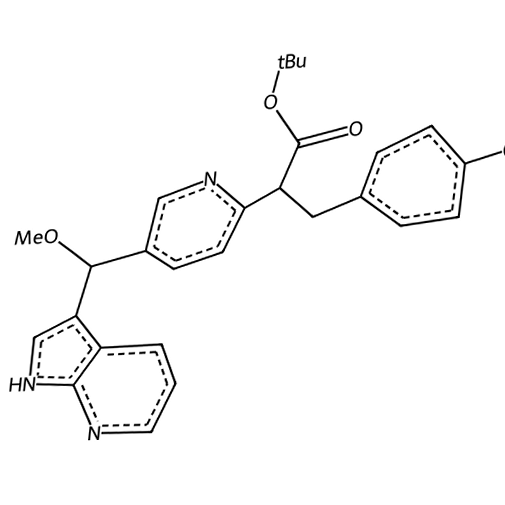 COC(c1ccc(C(Cc2ccc(Cl)cc2)C(=O)OC(C)(C)C)nc1)c1c[nH]c2ncccc12